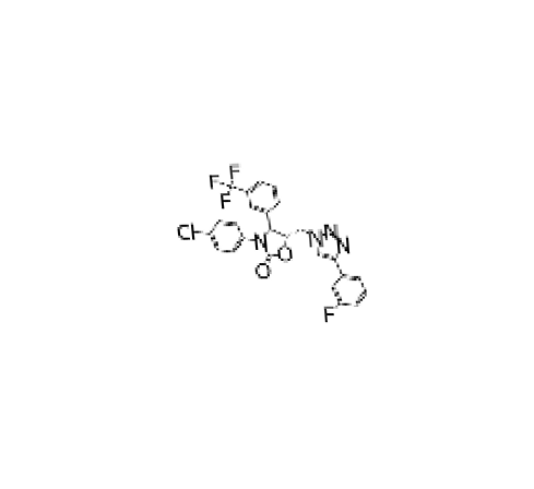 O=C1O[C@@H](Cn2cc(-c3cccc(F)c3)nn2)[C@H](c2cccc(C(F)(F)F)c2)N1c1ccc(Cl)cc1